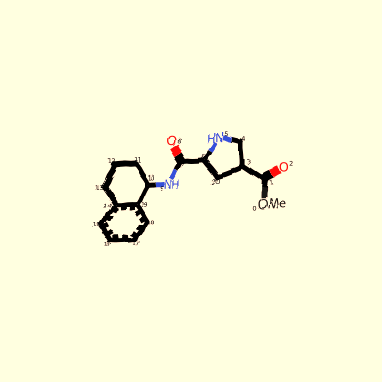 COC(=O)C1CNC(C(=O)NC2CCCc3ccccc32)C1